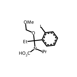 CCC(OCOC)(c1ccccc1I)N(C(=O)O)C(C)C